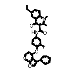 CCc1ccc2c(c1)c(=O)c(C(=O)Nc1ccc(Oc3ccnc4occ(-c5ccccc5)c34)c(F)c1)c(C)n2C